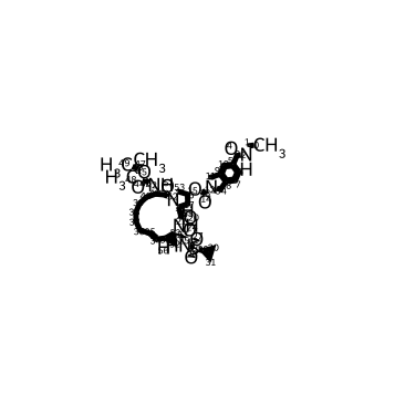 CCNC(=O)c1ccc2c(c1)CN(C(=O)O[C@@H]1C[C@H]3C(=O)N[C@]4(C(=O)NS(=O)(=O)C5CC5)C[C@H]4/C=C/CCCCC[C@H](NC(=O)OC(C)(C)C)C(=O)N3C1)C2